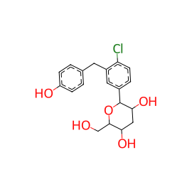 OCC1OC(c2ccc(Cl)c(Cc3ccc(O)cc3)c2)C(O)CC1O